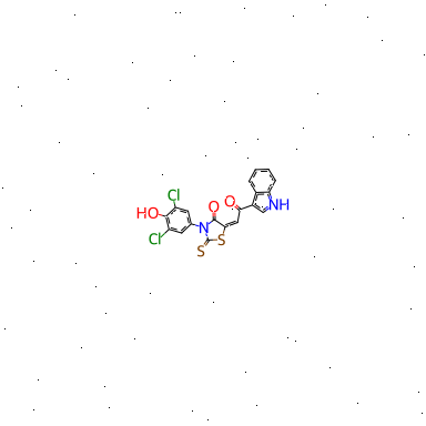 O=C(C=C1SC(=S)N(c2cc(Cl)c(O)c(Cl)c2)C1=O)c1c[nH]c2ccccc12